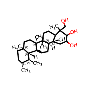 C[C@H]1[C@H](C)CC[C@]2(C)CC[C@]3(C)C(=CC[C@@H]4[C@@]5(C)CC(O)C(O)C(C)(CO)C5CC[C@]43C)[C@H]12